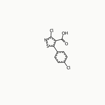 O=C(O)c1c(Cl)nsc1-c1ccc(Cl)cc1